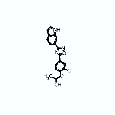 CC(C)Oc1ccc(-c2nc(-c3ccc4cc[nH]c4c3)no2)cc1Cl